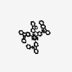 c1ccc(-n2c3ccccc3c3ccc(-c4nc(-c5ccc6c7ccccc7n(-c7ccccc7)c6c5)nc(-c5ccc(-n6c7ccccc7c7cc8ccccc8cc76)cc5-c5cccc6c5oc5ccccc56)n4)cc32)cc1